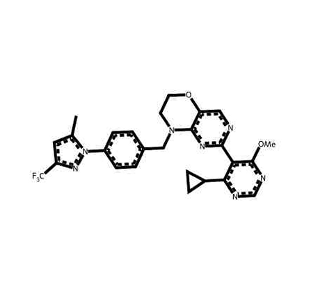 COc1ncnc(C2CC2)c1-c1ncc2c(n1)N(Cc1ccc(-n3nc(C(F)(F)F)cc3C)cc1)CCO2